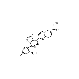 CC(C)(C)OC(=O)N1CCc2cc(-c3nnc(-c4ccc(F)cc4O)c4scc(F)c34)ccc2C1